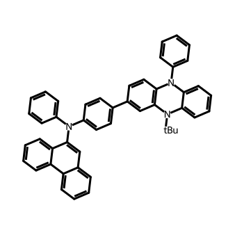 CC(C)(C)N1c2ccccc2N(c2ccccc2)c2ccc(-c3ccc(N(c4ccccc4)c4cc5ccccc5c5ccccc45)cc3)cc21